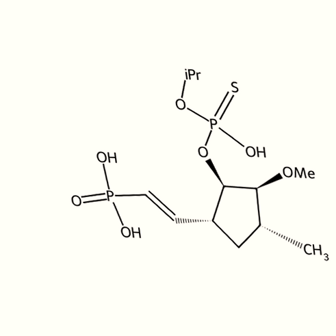 CO[C@@H]1[C@H](OP(O)(=S)OC(C)C)[C@@H](/C=C/P(=O)(O)O)C[C@H]1C